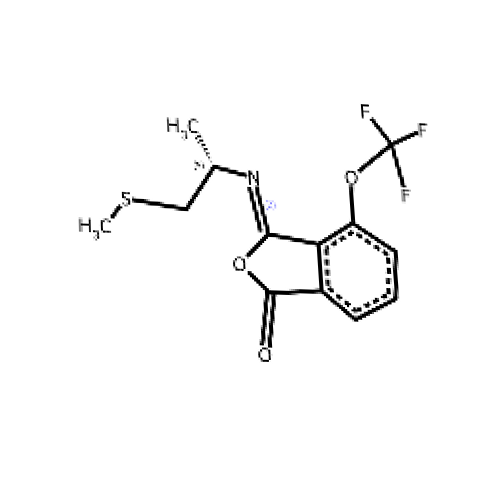 CSC[C@H](C)/N=C1\OC(=O)c2cccc(OC(F)(F)F)c21